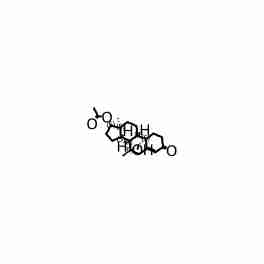 CC(=O)O[C@H]1CC[C@H]2[C@@H]3[C@H](C)CC4=CC(=O)CC[C@]4(CO)[C@H]3CC[C@]12C